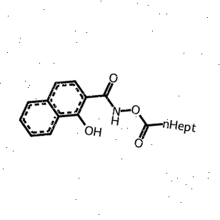 CCCCCCCC(=O)ONC(=O)c1ccc2ccccc2c1O